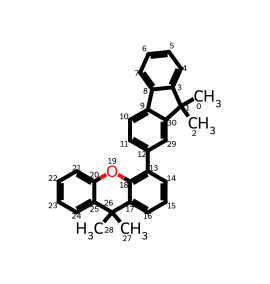 CC1(C)c2ccccc2-c2ccc(-c3cccc4c3Oc3ccccc3C4(C)C)cc21